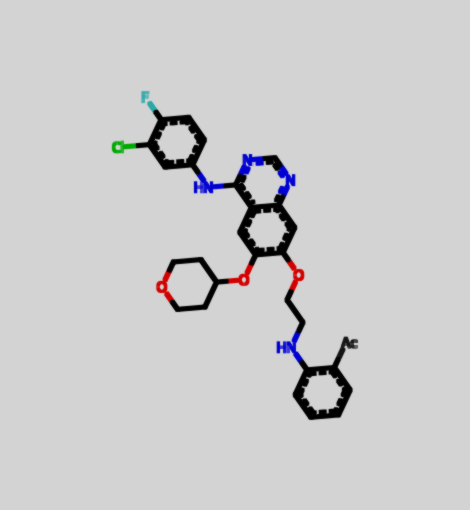 CC(=O)c1ccccc1NCCOc1cc2ncnc(Nc3ccc(F)c(Cl)c3)c2cc1OC1CCOCC1